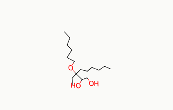 CCCCCCOC(CC)(CCCCCC)C(O)CO